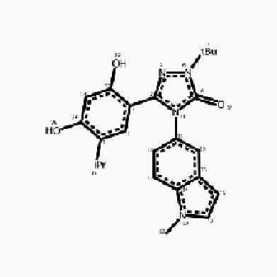 CC(C)c1cc(-c2nn(C(C)(C)C)c(=O)n2-c2ccc3c(ccn3C)c2)c(O)cc1O